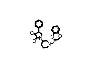 O=C1C(=O)N([C@H]2CCCN(C[C@H]3COc4ccccc4O3)C2)CC1c1ccccc1